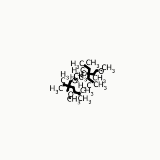 COCC(CCC(C)C)(COC)C(C)C.COCCC(CC(C)(C)C)(CC(C)(C)C)OC